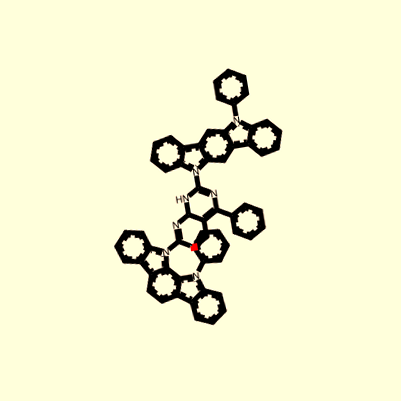 C1=NC(n2c3ccccc3c3ccc4c5ccccc5n(-c5ccccc5)c4c32)=NC2NC(n3c4ccccc4c4cc5c(cc43)c3ccccc3n5-c3ccccc3)=NC(c3ccccc3)=C12